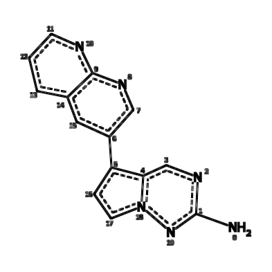 Nc1ncc2c(-c3cnc4ncccc4c3)ccn2n1